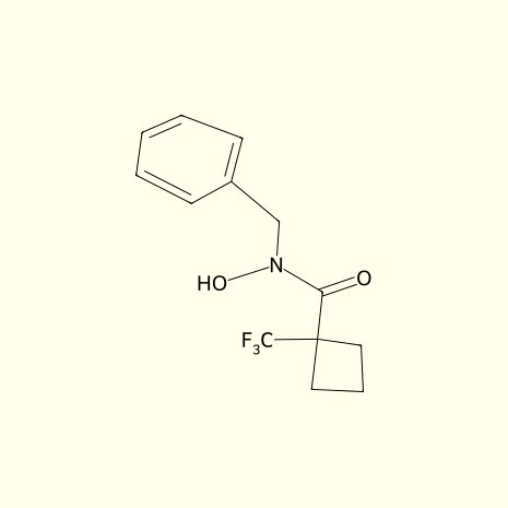 O=C(N(O)Cc1ccccc1)C1(C(F)(F)F)CCC1